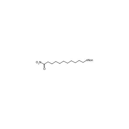 CCCCCCCCCCCCCCCCCCCC(=O)[N+](=O)[O-]